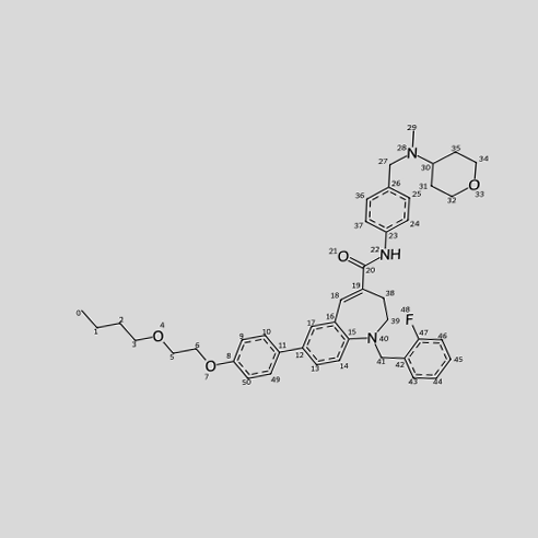 CCCCOCCOc1ccc(-c2ccc3c(c2)C=C(C(=O)Nc2ccc(CN(C)C4CCOCC4)cc2)CCN3Cc2ccccc2F)cc1